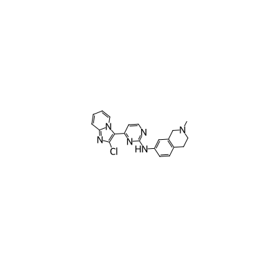 CN1CCc2ccc(Nc3nccc(-c4c(Cl)nc5ccccn45)n3)cc2C1